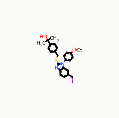 CCOc1ccc(-n2c(SCc3ccc(C(C)(C)O)cc3)nc3ccc(CI)cc32)cc1